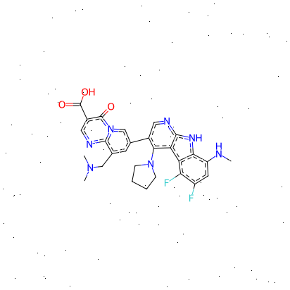 CNc1cc(F)c(F)c2c1[nH]c1ncc(-c3cc(CN(C)C)c4ncc(C(=O)O)c(=O)n4c3)c(N3CCCC3)c12